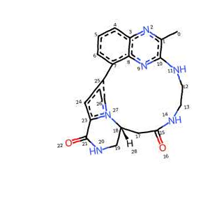 Cc1nc2cccc3c2nc1NCCNC(=O)C[C@@H]1CNC(=O)c2cc-3cn21